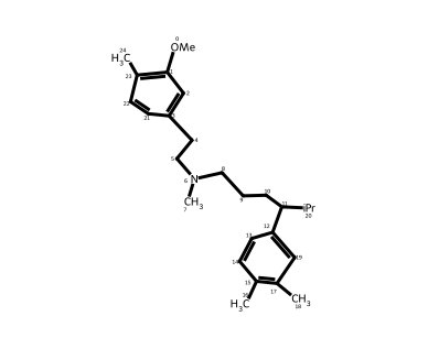 COc1cc(CCN(C)CCCC(c2ccc(C)c(C)c2)C(C)C)ccc1C